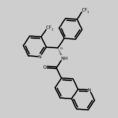 O=C(N[C@@H](c1ccc(C(F)(F)F)cc1)c1ncccc1C(F)(F)F)c1ccc2cccnc2c1